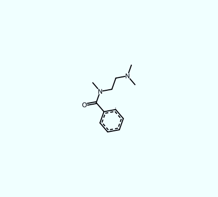 CN(C)CCN(C)C(=O)c1[c]cccc1